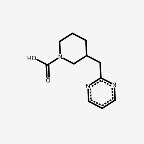 O=C(O)N1CCCC(Cc2ncccn2)C1